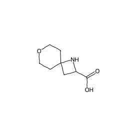 O=C(O)C1CC2(CCOCC2)N1